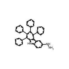 NNc1ccc2[nH]c3c(-c4ccccc4)c(-c4ccccc4)c(-c4ccccc4)c(-c4ccccc4)c3c2c1